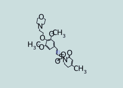 COc1cc(/C=C/S(=O)(=O)N2CCC(C)=CC2=O)cc(OC)c1OCCN1CCOCC1